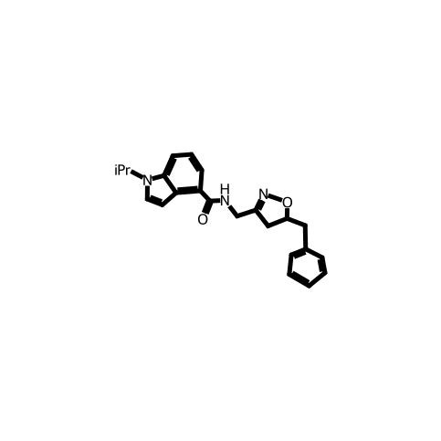 CC(C)n1ccc2c(C(=O)NCC3=NOC(Cc4ccccc4)C3)cccc21